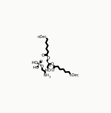 CCCCCCCCCCCCCCCC(=O)OC[C@H](CO)OC(=O)CCCCCCCCCCCCCCC.NCCOP(=O)(O)O